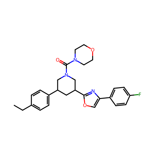 CCc1ccc(C2CC(c3nc(-c4ccc(F)cc4)co3)CN(C(=O)N3CCOCC3)C2)cc1